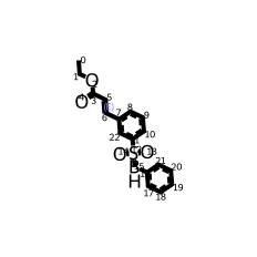 CCOC(=O)/C=C/c1cccc(S(=O)(=O)Bc2ccccc2)c1